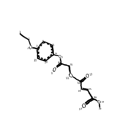 CCOc1ccc(OC(=O)COC(=O)/C=C/C(=O)OC)cc1